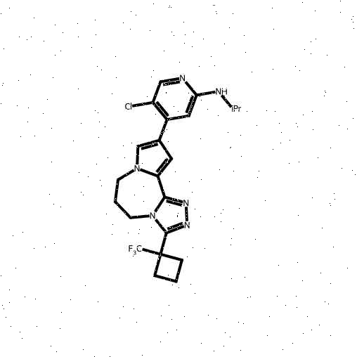 CC(C)Nc1cc(-c2cc3n(c2)CCCn2c-3nnc2C2(C(F)(F)F)CCC2)c(Cl)cn1